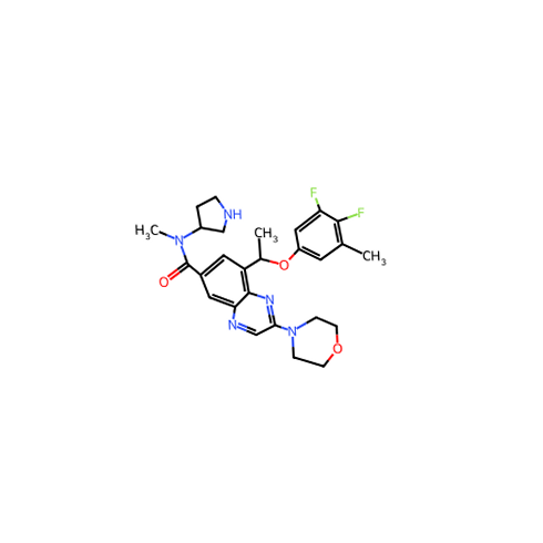 Cc1cc(OC(C)c2cc(C(=O)N(C)C3CCNC3)cc3ncc(N4CCOCC4)nc23)cc(F)c1F